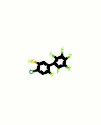 Fc1cc(Cl)c(S)cc1-c1c(F)c(F)c(F)c(F)c1F